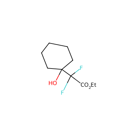 CCOC(=O)C(F)(F)C1(O)CCCCC1